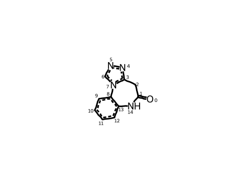 O=C1Cc2nncn2-c2ccccc2N1